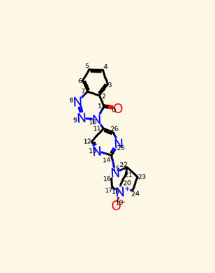 O=c1c2ccccc2nnn1-c1cnc(N2CC[N+]3([O-])CCC2CC3)nc1